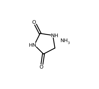 N.O=C1CNC(=O)N1